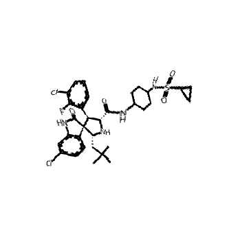 CC(C)(C)C[C@H]1N[C@@H](C(=O)NC2CCC(NS(=O)(=O)C3CC3)CC2)[C@H](c2cccc(Cl)c2F)[C@@]12C(=O)Nc1cc(Cl)ccc12